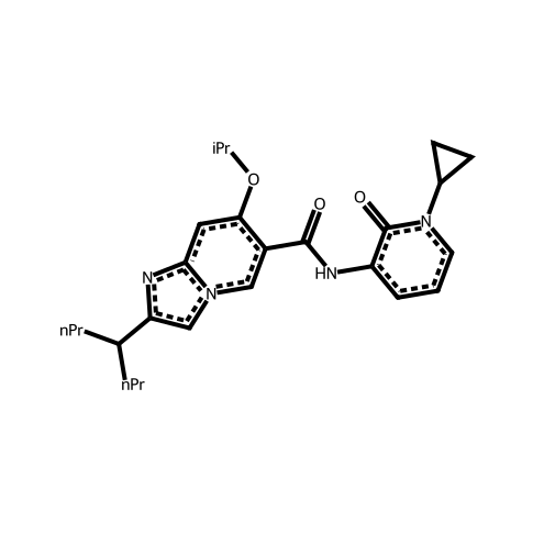 CCCC(CCC)c1cn2cc(C(=O)Nc3cccn(C4CC4)c3=O)c(OC(C)C)cc2n1